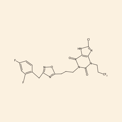 O=c1c2[nH]c(Cl)nc2n(CCC(F)(F)F)c(=O)n1CCCc1nc(Cc2ccc(F)cc2F)no1